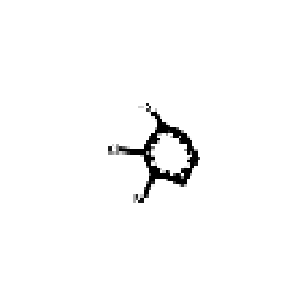 Sc1cccc(Br)c1Cl